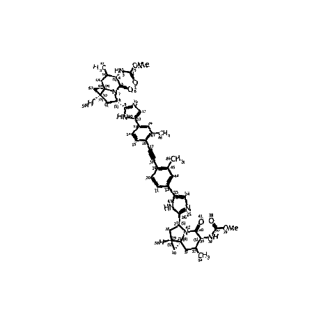 COC(=O)N[C@@H]1C(=O)N2[C@H](c3ncc(-c4ccc(C#Cc5ccc(-c6cnc([C@@H]7C[C@H]8C[C@]89CC(C)[C@H](NC(=O)OC)C(=O)N79)[nH]6)cc5C)c(C)c4)[nH]3)C[C@H]3C[C@]32CC1C